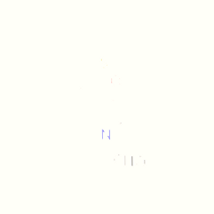 O=CN1C=CC2=CSOC2=C1